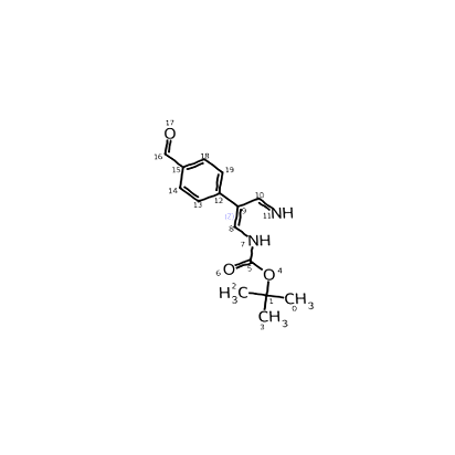 CC(C)(C)OC(=O)N/C=C(\C=N)c1ccc(C=O)cc1